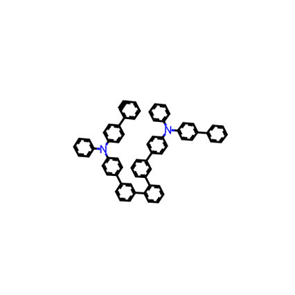 c1cccc(-c2ccc(N(c3ccccc3)c3ccc(-c4cccc(-c5ccccc5-c5cccc(-c6ccc(N(c7ccccc7)c7ccc(-c8ccccc8)cc7)cc6)c5)c4)cc3)cc2)c#1